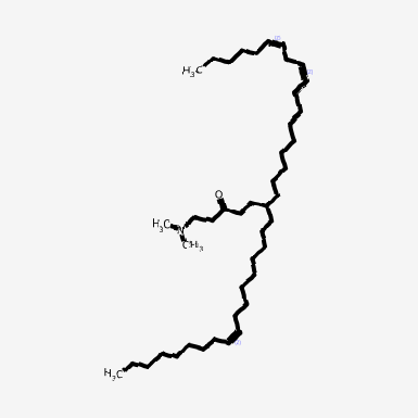 CCCCC/C=C\C/C=C\CCCCCCCCC(CCCCCCCC/C=C\CCCCCCCC)CCC(=O)CCN(C)C